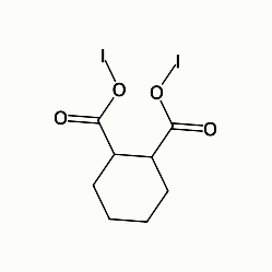 O=C(OI)C1CCCCC1C(=O)OI